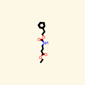 CCOC(=O)CCCNC(=O)OCCc1ccccc1